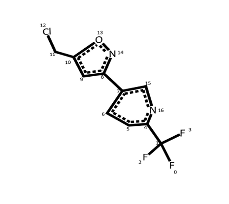 FC(F)(F)c1ccc(-c2cc(CCl)on2)cn1